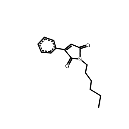 CCCCCCN1C(=O)C=C(c2ccccc2)C1=O